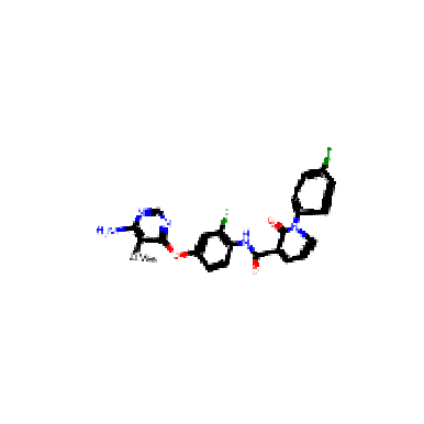 COc1c(N)ncnc1Oc1ccc(NC(=O)c2cccn(-c3ccc(F)cc3)c2=O)c(F)c1